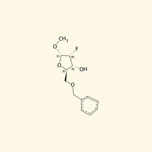 CO[C@H]1O[C@H](COCc2ccccc2)[C@@H](O)[C@H]1F